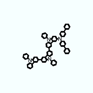 c1ccc(-c2ccc(N(c3ccc(-c4ccccc4)cc3)c3ccc4c(c3)c3cc(-c5ccc6c(c5)c5cc(-c7ccc8c(c7)c7ccccc7n8-c7ccccc7)ccc5n6-c5ccccc5)ccc3n4-c3ccccc3)cc2)cc1